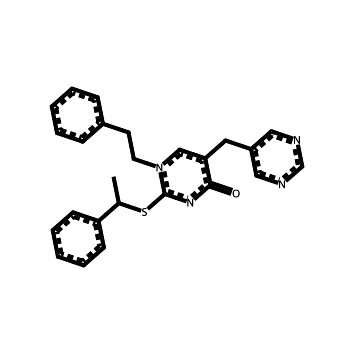 CC(Sc1nc(=O)c(Cc2cncnc2)cn1CCc1ccccc1)c1ccccc1